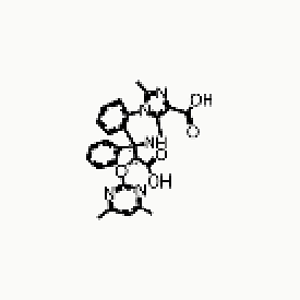 Cc1cc(C)nc(O[C@H](C(=O)O)[C@@]2(c3ccccc3)NCc3c(C(=O)O)nc(C)n3-c3ccccc32)n1